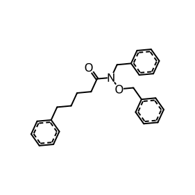 O=C(CCCCc1ccccc1)N(Cc1ccccc1)OCc1ccccc1